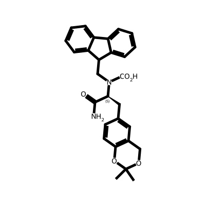 CC1(C)OCc2cc(C[C@@H](C(N)=O)N(CC3c4ccccc4-c4ccccc43)C(=O)O)ccc2O1